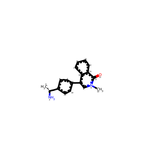 C[C@@H](N)c1ccc(-c2cn(C)c(=O)c3ccccc23)cc1